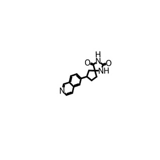 O=C1NC(=O)C2(CCC(c3ccc4cnccc4c3)C2)N1